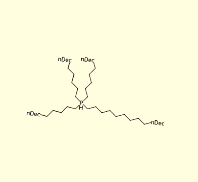 CCCCCCCCCCCCCCCCCCC[PH](CCCCCCCCCCCCCCC)(CCCCCCCCCCCCCCC)CCCCCCCCCCCCCCC